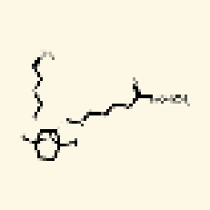 C=CCSCC[C@@H]1[C@H](CSCCCCC(=O)N(C)O)[C@@H]2CC[C@H]1O2